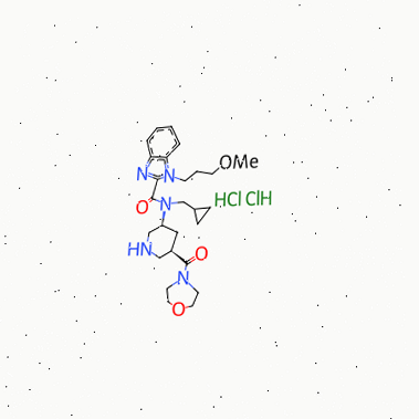 COCCCn1c(C(=O)N(CC2CC2)[C@@H]2CNC[C@H](C(=O)N3CCOCC3)C2)nc2ccccc21.Cl.Cl